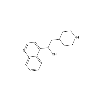 OC(CC1CCNCC1)c1ccnc2ccccc12